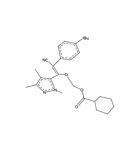 Cc1nn(C)c(/C(OCOC(=O)C2CCCCC2)=C(\C#N)c2ccc(C(C)(C)C)cc2)c1C